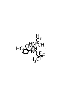 CC(C)Nc1nc(CC[C@H](C)C(F)(F)F)nc(C2=C(Cl)C(O)CCC2)n1